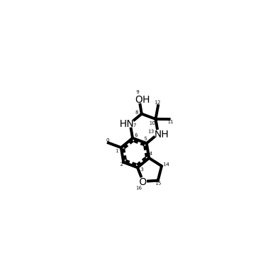 Cc1cc2c(c3c1NC(O)C(C)(C)N3)CCO2